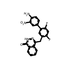 Nc1ccc(-c2cc(Cc3n[nH]c(=O)c4ccccc34)c(F)cc2F)cc1[N+](=O)[O-]